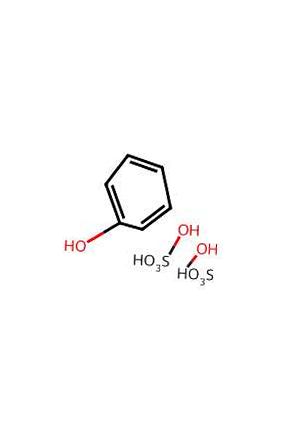 O=S(=O)(O)O.O=S(=O)(O)O.Oc1ccccc1